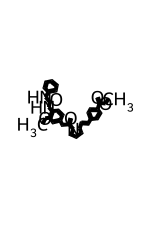 COC(=O)c1ccc(/C=C/C2CCCN2C(=O)Cc2ccc(NC(=O)Nc3ccccc3)c(OC)c2)cc1